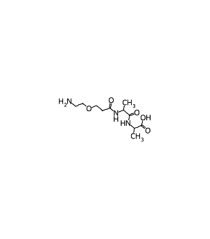 CC(NC(=O)C(C)NC(=O)CCOCCN)C(=O)O